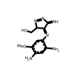 COc1cc(N=C2C(=N)N=NC2CO)c(N)cc1N